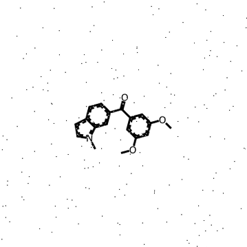 COc1cc(OC)cc(C(=O)c2ccc3ccn(C)c3c2)c1